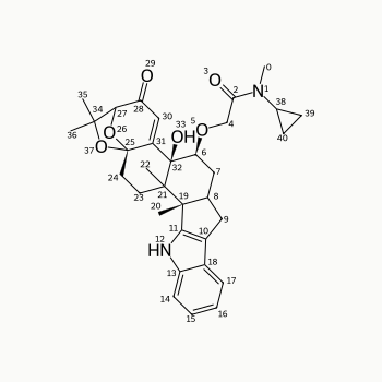 CN(C(=O)CO[C@H]1CC2Cc3c([nH]c4ccccc34)[C@]2(C)C2(C)CC[C@@]34OC(C(=O)C=C3[C@]12O)C(C)(C)O4)C1CC1